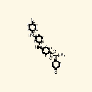 CN(C1CCC(=O)CC1)S(=O)(=O)c1ccc(Nc2nccc(Nc3ccc(F)cc3)n2)cc1